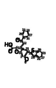 COc1cc(OCC(=O)O)c(C=CC(=O)c2ccccc2)cc1-c1cc2ccccc2s1